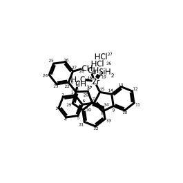 Cc1ccccc1C1=Cc2ccccc2[CH]1[Zr]([CH3])([CH3])(=[SiH2])[C@H]1C(c2ccccc2C)=Cc2ccccc21.Cl.Cl